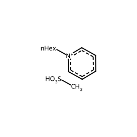 CCCCCC[n+]1ccccc1.CS(=O)(=O)O